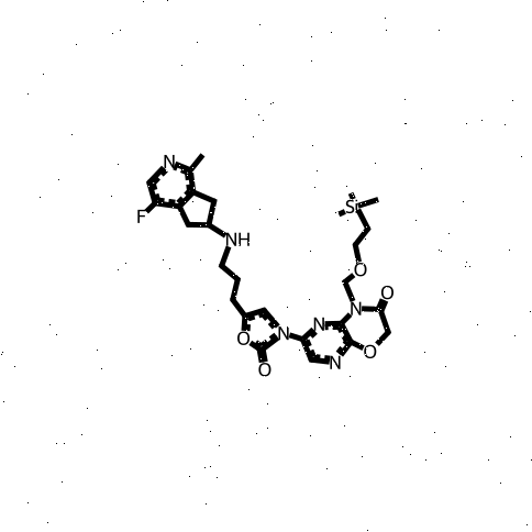 Cc1ncc(F)c2c1CC(NCCCc1cn(-c3cnc4c(n3)N(COCC[Si](C)(C)C)C(=O)CO4)c(=O)o1)C2